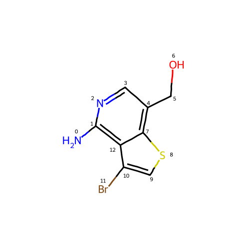 Nc1ncc(CO)c2scc(Br)c12